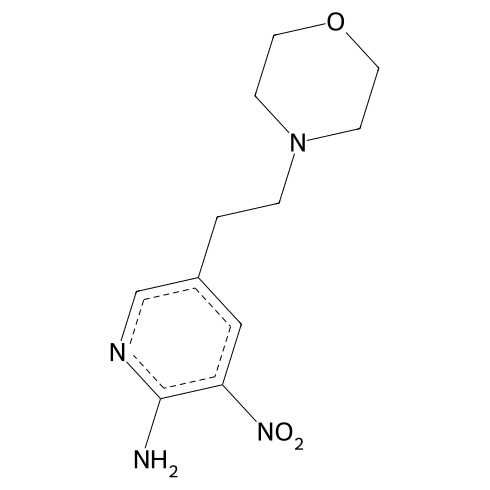 Nc1ncc(CCN2CCOCC2)cc1[N+](=O)[O-]